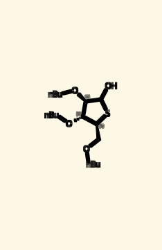 CCCCOC[C@@H]1SC(O)[C@H](OCCCC)[C@H]1OCCCC